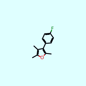 Cc1oc(C)c(-c2ccc(F)cc2)c1C